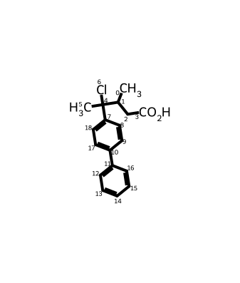 CC(CC(=O)O)C(C)(Cl)c1ccc(-c2ccccc2)cc1